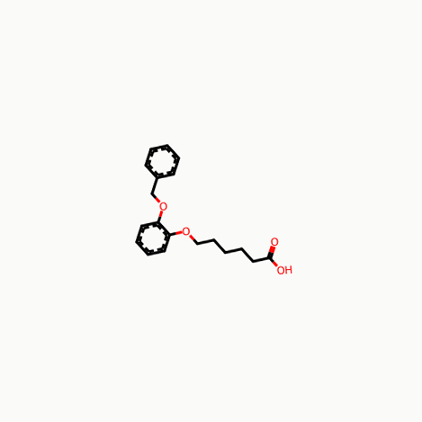 O=C(O)CCCCCOc1ccccc1OCc1ccccc1